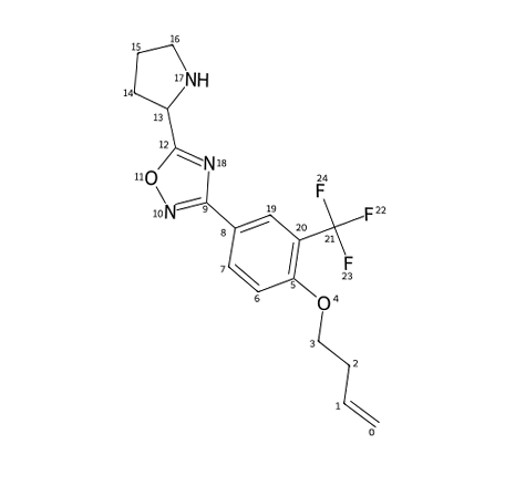 C=CCCOc1ccc(-c2noc(C3CCCN3)n2)cc1C(F)(F)F